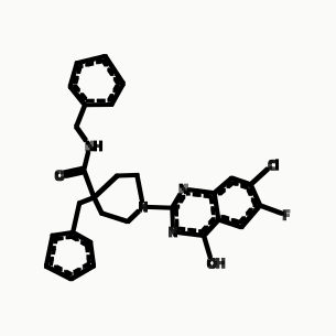 O=C(NCc1ccccc1)C1(Cc2ccccc2)CCN(c2nc(O)c3cc(F)c(Cl)cc3n2)CC1